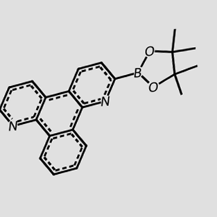 CC1(C)OB(c2ccc3c4cccnc4c4ccccc4c3n2)OC1(C)C